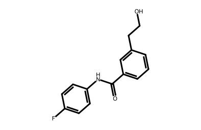 O=C(Nc1ccc(F)cc1)c1cccc(CCO)c1